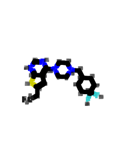 FC(F)(F)Cc1cc2c(N3CCN(CC4CCC(F)(F)CC4)CC3)ncnc2s1